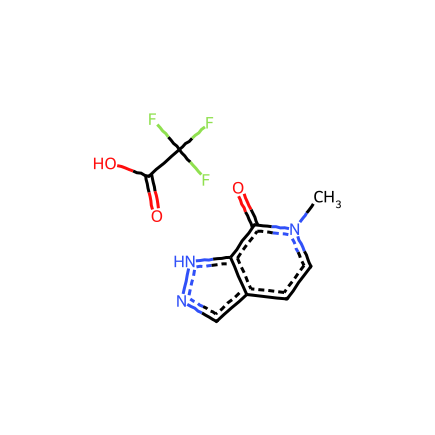 Cn1ccc2cn[nH]c2c1=O.O=C(O)C(F)(F)F